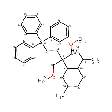 COCC(CC[Si](c1ccccc1)(c1ccccc1)c1ccccc1)(COC)C1CC(C)CCC1C(C)C